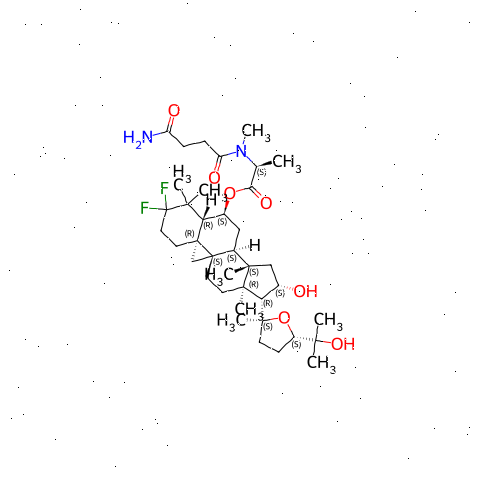 C[C@@H](C(=O)O[C@H]1C[C@@H]2[C@]3(CC[C@]4(C)[C@@H]([C@]5(C)CC[C@@H](C(C)(C)O)O5)[C@@H](O)C[C@@]24C)C[C@@]32CCC(F)(F)C(C)(C)[C@H]12)N(C)C(=O)CCC(N)=O